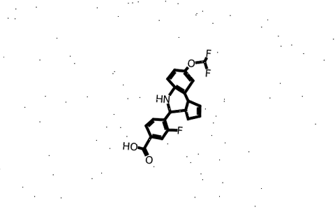 O=C(O)c1ccc(C2Nc3ccc(OC(F)F)cc3C3C=CCC32)c(F)c1